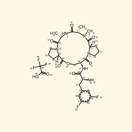 C[C@@H]1NC(=O)[C@H](C)N(C)C(=O)[C@@H]2CCCN2C(=O)[C@@H](NC(=O)[C@@H](N)Cc2cc(F)cc(F)c2)COC(=O)[C@@H]2CCCN2C1=O.O=C(O)C(F)(F)F